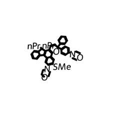 CCCC1(CCC)c2ccccc2-c2c1c1c(c3cc(SC)c(N4CCOCC4)cc23)OC(c2ccccc2)(c2ccc(N3CCOCC3)cc2)C=C1